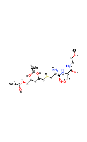 CCOCCNC(=O)[C@H](CO)NC(=O)[C@@H](N)CSC[C@@H](CCCOC(=O)OC)OC(=O)OC